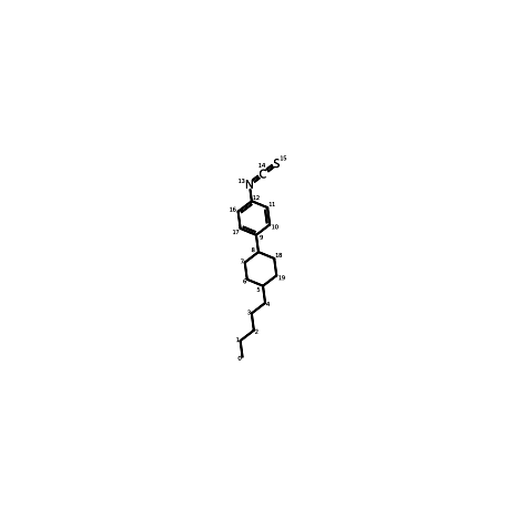 CCCCCC1CCC(c2ccc(N=C=S)cc2)CC1